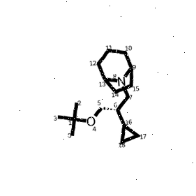 CC(C)(C)OC[C@H](CN1C2CCCC1CC2)C1CC1